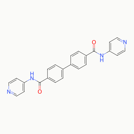 O=C(Nc1ccncc1)c1ccc(-c2ccc(C(=O)Nc3ccncc3)cc2)cc1